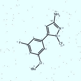 CC(C)(C)Oc1cc(F)cc(-c2cc(N)nn2C(F)(F)F)c1